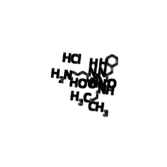 CC(C)CCNNC(=O)C(CC1CCCCC1)NC(=O)NC(CCCN)C(=O)O.Cl